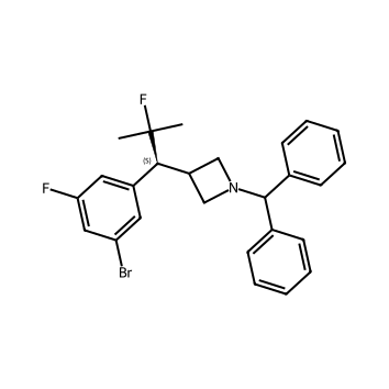 CC(C)(F)[C@H](c1cc(F)cc(Br)c1)C1CN(C(c2ccccc2)c2ccccc2)C1